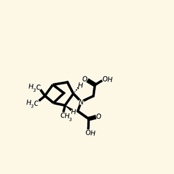 C[C@@H]1C2CC(C[C@H]1N(CC(=O)O)CC(=O)O)C2(C)C